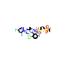 CC(C)S(=O)(=O)c1ccc(S(=O)(=O)n2nc(N3CCN(c4ncc(F)cc4F)CC34CC4)c3c(Cl)ccc(F)c32)s1